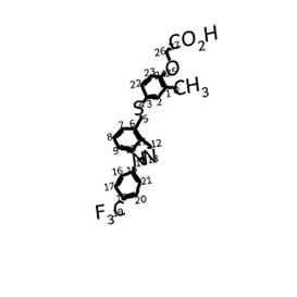 Cc1cc(SCc2cccc3c2cnn3-c2ccc(C(F)(F)F)cc2)ccc1OCC(=O)O